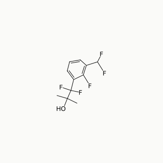 CC(C)(O)C(F)(F)c1cccc(C(F)F)c1F